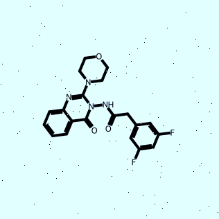 O=C(Cc1cc(F)cc(F)c1)Nn1c(N2CCOCC2)nc2ccccc2c1=O